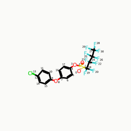 O=S(=O)(Oc1ccc(Oc2ccc(Cl)cc2)cc1)C(F)(F)C(F)(F)C(F)(F)C(F)(F)F